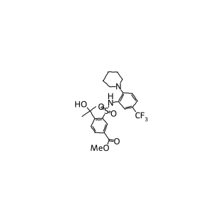 COC(=O)c1ccc(C(C)(C)O)c(S(=O)(=O)Nc2cc(C(F)(F)F)ccc2N2CCCCC2)c1